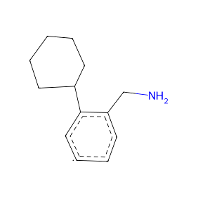 NCc1cc[c]cc1C1CCCCC1